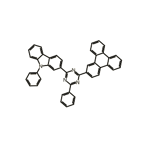 c1ccc(-c2nc(-c3ccc4c5ccccc5c5ccccc5c4c3)nc(-c3ccc4c5ccccc5n(-c5ccccc5)c4c3)n2)cc1